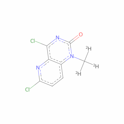 [2H]C([2H])([2H])n1c(=O)nc(Cl)c2nc(Cl)ccc21